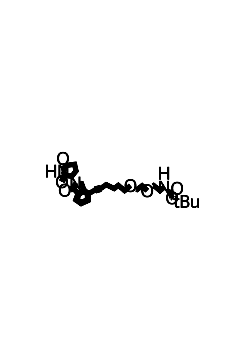 CC(C)(C)OC(=O)NCCOCCOCCCCC#Cc1cccc2c1CN(C1CCC(=O)NC1=O)C2=O